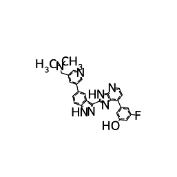 CN(C)Cc1cncc(-c2ccc3[nH]nc(-c4nc5c(-c6cc(O)cc(F)c6)ccnc5[nH]4)c3c2)c1